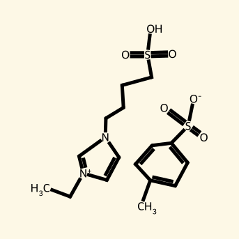 CC[n+]1ccn(CCCCS(=O)(=O)O)c1.Cc1ccc(S(=O)(=O)[O-])cc1